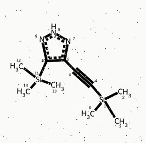 C[Si](C)(C)C#Cc1n[nH]nc1[Si](C)(C)C